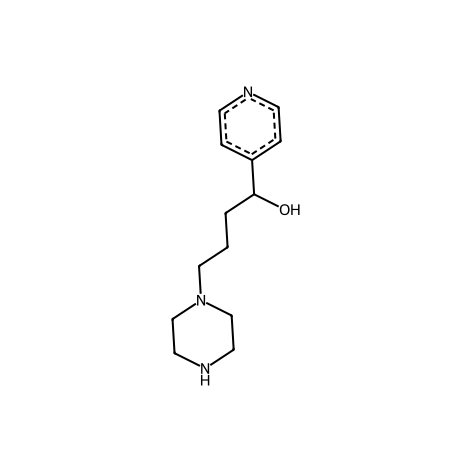 OC(CCCN1CCNCC1)c1ccncc1